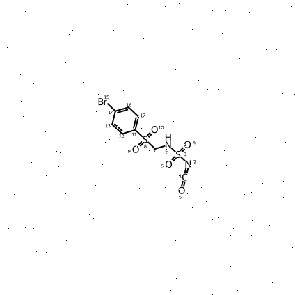 O=C=NS(=O)(=O)NCS(=O)(=O)c1ccc(Br)cc1